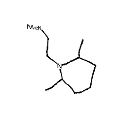 CNCCN1C(C)CCCC1C